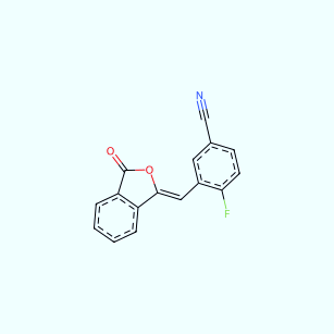 N#Cc1ccc(F)c(C=C2OC(=O)c3ccccc32)c1